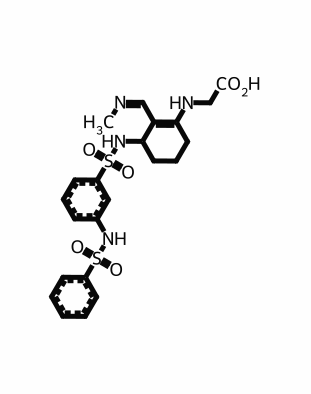 C/N=C\C1=C(NCC(=O)O)CCCC1NS(=O)(=O)c1cccc(NS(=O)(=O)c2ccccc2)c1